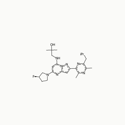 Cc1nc(C)c(-c2cc3nc(N4CC[C@@H](F)C4)cc(NCC(C)(C)O)n3n2)nc1CC(C)C